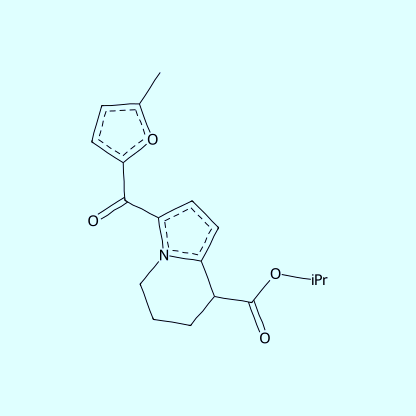 Cc1ccc(C(=O)c2ccc3n2CCCC3C(=O)OC(C)C)o1